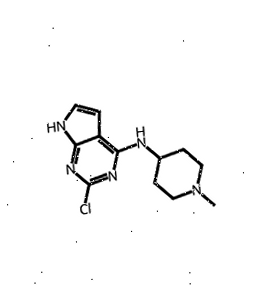 CN1CCC(Nc2nc(Cl)nc3[nH]ccc23)CC1